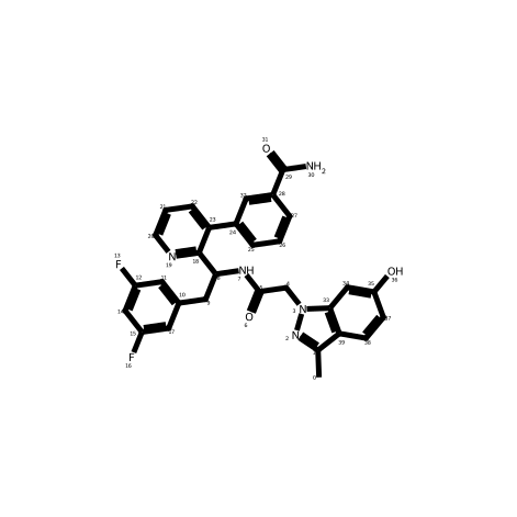 Cc1nn(CC(=O)NC(Cc2cc(F)cc(F)c2)c2ncccc2-c2cccc(C(N)=O)c2)c2cc(O)ccc12